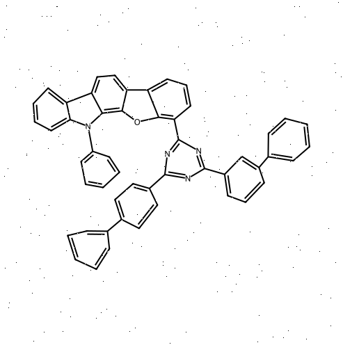 c1ccc(-c2ccc(-c3nc(-c4cccc(-c5ccccc5)c4)nc(-c4cccc5c4oc4c5ccc5c6ccccc6n(-c6ccccc6)c54)n3)cc2)cc1